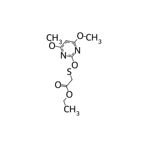 CCOC(=O)CSOc1nc(OC)cc(OC)n1